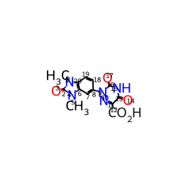 Cn1c(=O)n(C)c2cc(-n3nc(C(=O)O)c(=O)[nH]c3=O)ccc21